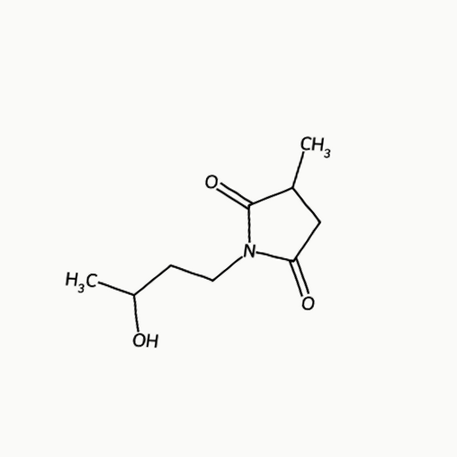 CC(O)CCN1C(=O)CC(C)C1=O